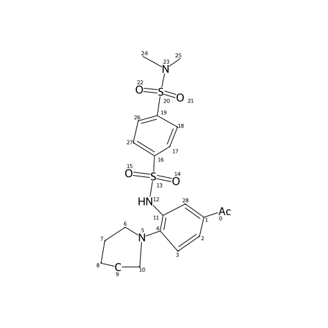 CC(=O)c1ccc(N2CCCCC2)c(NS(=O)(=O)c2ccc(S(=O)(=O)N(C)C)cc2)c1